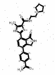 Cc1[nH]c(-c2ccc(-c3ccc(C(N)=O)cc3)c3c2C(=O)NC3)nc1C(=O)NCCN1CCCC1